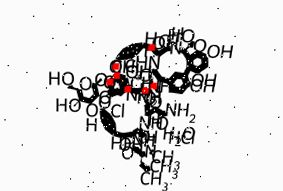 CN[C@H](CC(C)C)C(=O)N[C@H]1C(=O)N[C@@H](CC(N)=O)C(=O)N[C@H]2C(=O)N[C@H]3C(=O)N[C@H](C(=O)N[C@@H](C(=O)O)c4cc(O)cc(O)c4-c4cc3ccc4O)[C@H](O)c3ccc(c(Cl)c3)Oc3cc2cc(c3O[C@@H]2O[C@H](CO)[C@@H](O)[C@H](O)[C@H]2O[C@H]2C[C@](C)(N)C(O)[C@H](C)O2)Oc2ccc(cc2Cl)[C@H]1O.Cl.O